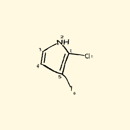 Clc1[nH]ccc1I